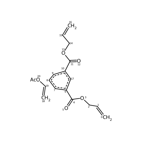 C=CCOC(=O)c1cccc(C(=O)OCC=C)c1.C=COC(C)=O